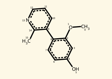 COc1cc(O)ccc1-c1cccnc1C